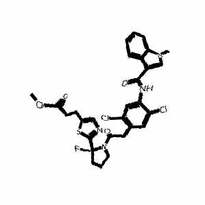 COC(=O)CCc1cnc([C@@]2(F)CCCN2C(=O)Cc2cc(Cl)c(NC(=O)c3cn(C)c4ccccc34)cc2Cl)s1